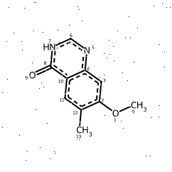 COc1cc2nc[nH]c(=O)c2cc1C